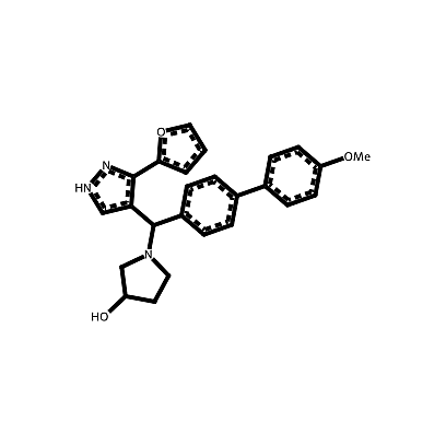 COc1ccc(-c2ccc(C(c3c[nH]nc3-c3ccco3)N3CCC(O)C3)cc2)cc1